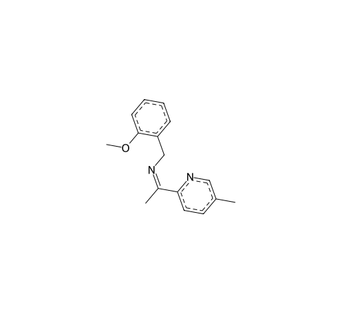 COc1ccccc1CN=C(C)c1ccc(C)cn1